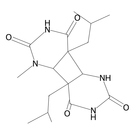 CC(C)CC12C(=O)NC(=O)NC1C1(CC(C)C)C(=O)NC(=O)N(C)C21